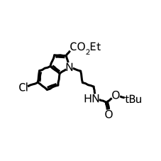 CCOC(=O)c1cc2cc(Cl)ccc2n1CCCNC(=O)OC(C)(C)C